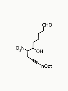 CCCCCCCCC#CCC(C(O)CCCCC=O)[N+](=O)[O-]